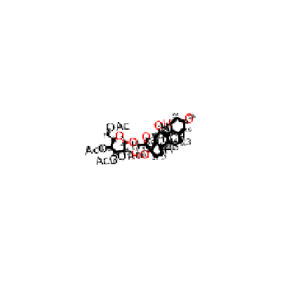 CC(=O)OC[C@H]1OC(OCC(=O)[C@@]2(O)CC[C@H]3[C@@H]4CCC5=CC(=O)CC[C@]5(C)[C@H]4[C@@H](O)C[C@@]32C)[C@H](OC(C)=O)[C@@H](OC(C)=O)[C@H]1OC(C)=O